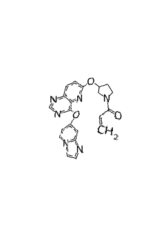 C=CC(=O)N1CCC(Oc2ccc3ncnc(Oc4ccn5ccnc5c4)c3n2)C1